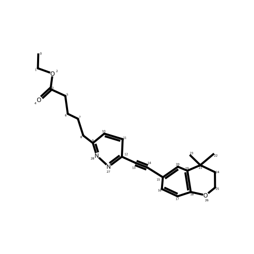 CCOC(=O)CCCCc1ccc(C#Cc2ccc3c(c2)C(C)(C)CCO3)nn1